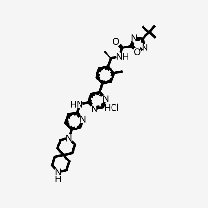 Cc1cc(-c2cc(Nc3ccc(N4CCC5(CCNCC5)CC4)cn3)ncn2)ccc1[C@@H](C)NC(=O)c1nc(C(C)(C)C)no1.Cl